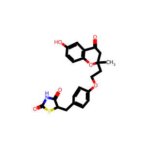 CC1(CCOc2ccc(CC3SC(=O)NC3=O)cc2)CC(=O)c2cc(O)ccc2O1